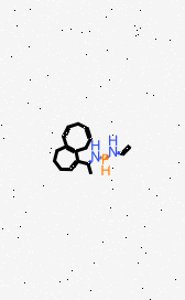 C=CNPNC(C)C1=CCCCC2=C1CC=CC/C=C\2